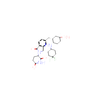 C[C@]1(O)CC[C@H](NC2CCC(F)(F)CC2)[C@@H](Cc2ccc3c(c2)CN(C2CCC(=O)NC2=O)C3=O)C1